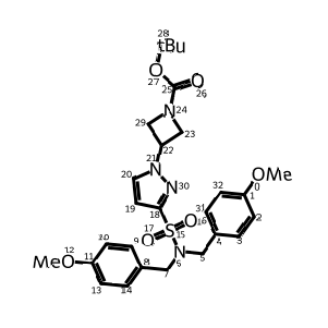 COc1ccc(CN(Cc2ccc(OC)cc2)S(=O)(=O)c2ccn(C3CN(C(=O)OC(C)(C)C)C3)n2)cc1